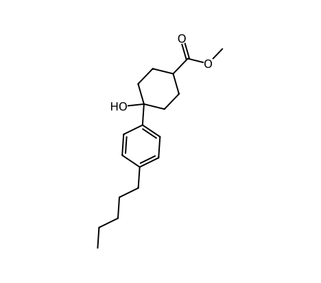 CCCCCc1ccc(C2(O)CCC(C(=O)OC)CC2)cc1